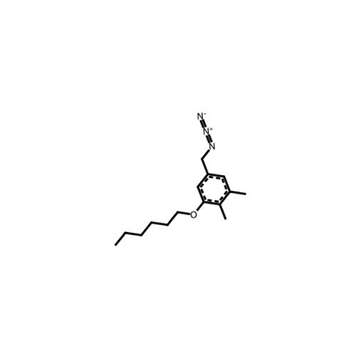 CCCCCCOc1cc(CN=[N+]=[N-])cc(C)c1C